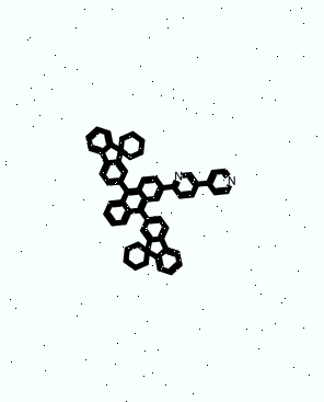 c1ccc2c(c1)-c1ccc(-c3c4ccccc4c(-c4ccc5c(c4)C4(CCCCC4)c4ccccc4-5)c4cc(-c5ccc(-c6ccncc6)cn5)ccc34)cc1C21CCCCC1